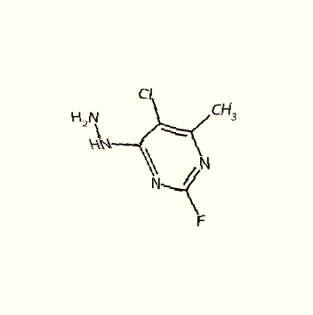 Cc1nc(F)nc(NN)c1Cl